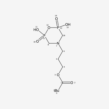 CC(C)(C)C(=O)OCCCN1CP(=O)(O)OP(=O)(O)C1